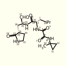 CC(C)C[C@H](NC(=O)C(=O)NC1(C)CC1)C(=O)N[C@H](C=O)C[C@@H]1CCNC1=O